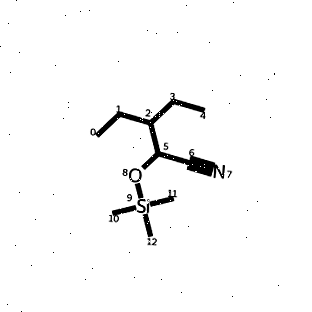 CCC(CC)C(C#N)O[Si](C)(C)C